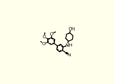 COc1cc(-c2ccc(C#N)c(NC3CCC(O)CC3)c2)cc(OC)c1OC